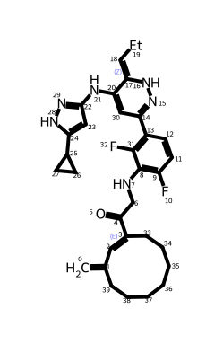 C=C1/C=C(/C(=O)CNc2c(F)ccc(C3=NN/C(=C\CC)C(Nc4cc(C5CC5)[nH]n4)=C3)c2F)CCCCCCC1